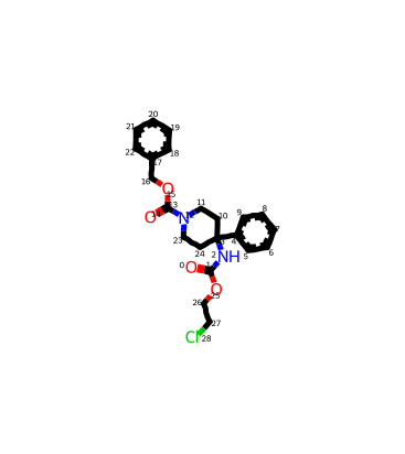 O=C(NC1(c2ccccc2)CCN(C(=O)OCc2ccccc2)CC1)OCCCl